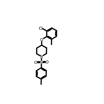 Cc1ccc(S(=O)(=O)N2CCC(Oc3c(C)cccc3Cl)CC2)cc1